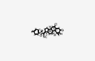 [C-]#[N+]C(=C1CC[C@H]2[C@@H]3C=C(Cl)C4=CC(=O)[C@@H]5C[C@@H]5[C@]4(C)[C@H]3CC[C@]12C)S(=O)(=O)c1ccc(C)cc1